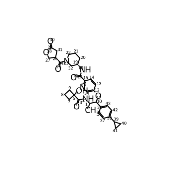 CC(NC(=O)C1(O)CCC1)C(Oc1ccc(C(=O)N[C@H]2CCCN(C(=O)[C@H]3COC(=O)C3)C2)nc1)c1ccc(C2CC2)cc1